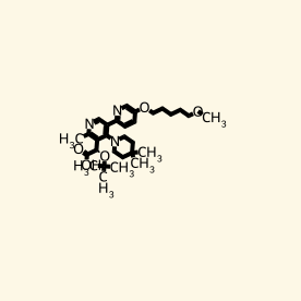 COCCCCCOc1ccc(-c2cnc(C)c([C@H](OC(C)(C)C)C(=O)O)c2N2CCC(C)(C)CC2)nc1